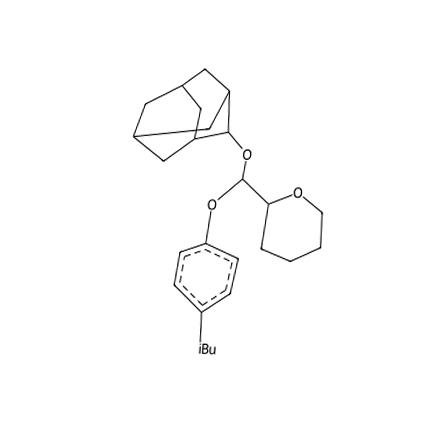 CCC(C)c1ccc(OC(OC2C3CC4CC(C3)CC2C4)C2CCCCO2)cc1